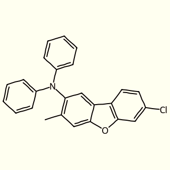 Cc1cc2oc3cc(Cl)ccc3c2cc1N(c1ccccc1)c1ccccc1